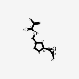 C=C(C)C(=O)OCC1CCC(C2OC2C)C1